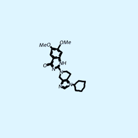 COc1cc2[nH]c(N3CCc4c(ncn4C4CCCCC4)C3)nc(=O)c2cc1OC